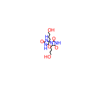 O=C1NC(=O)C(CCCCO)(N2C(=O)NC(=O)C2CCCCO)N1